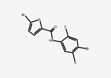 O=C(Nc1cc(F)c(Br)cc1F)c1ccc(Br)s1